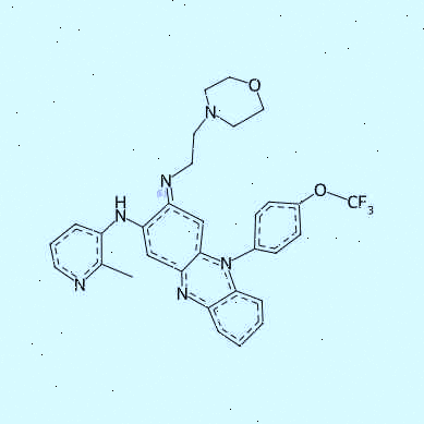 Cc1ncccc1Nc1cc2nc3ccccc3n(-c3ccc(OC(F)(F)F)cc3)c-2c/c1=N\CCN1CCOCC1